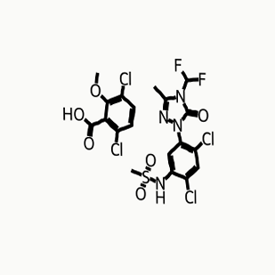 COc1c(Cl)ccc(Cl)c1C(=O)O.Cc1nn(-c2cc(NS(C)(=O)=O)c(Cl)cc2Cl)c(=O)n1C(F)F